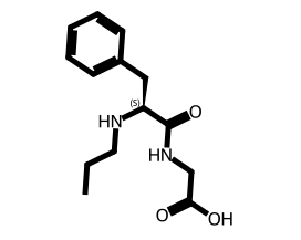 CCCN[C@@H](Cc1ccccc1)C(=O)NCC(=O)O